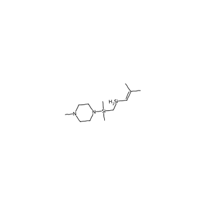 CC(C)=C[SiH2]C[Si](C)(C)N1CCN(C)CC1